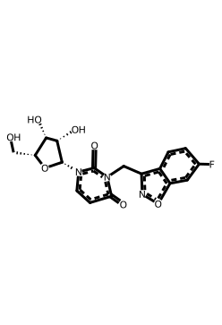 O=c1ccn([C@@H]2O[C@H](CO)[C@H](O)[C@@H]2O)c(=O)n1Cc1noc2cc(F)ccc12